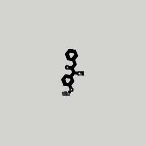 CC(C)(C)Oc1cccc(C(C#N)C(=O)Cc2ccccc2)c1